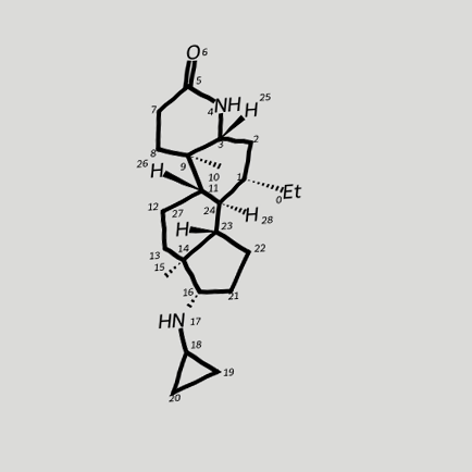 CC[C@H]1C[C@H]2NC(=O)CC[C@]2(C)[C@H]2CC[C@]3(C)[C@@H](NC4CC4)CC[C@H]3[C@H]12